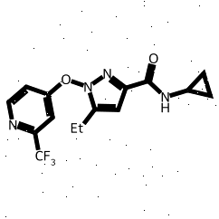 CCc1cc(C(=O)NC2CC2)nn1Oc1ccnc(C(F)(F)F)c1